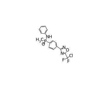 CP(=O)(Nc1ccccc1)c1ccc(-c2noc(C(F)(F)Cl)n2)cc1